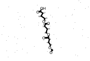 O=COCCCC(=O)OCCCC(=O)OCCCC(=O)O